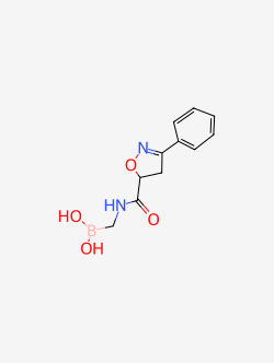 O=C(NCB(O)O)C1CC(c2ccccc2)=NO1